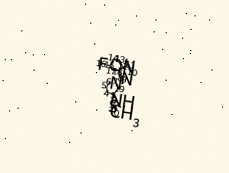 CSNC1CCCN(c2ncnc3ccc(F)cc23)C1